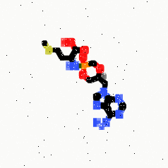 CSCCC(NP1(=O)CO[C@@H](Cn2cnc3c(N)ncnc32)CO1)C(=O)O